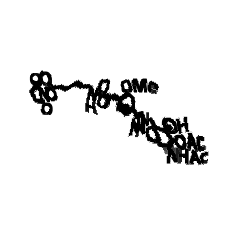 COc1cc(-c2cn(CC3OC[C@@H](NC(C)=O)C(OC(C)=O)C3O)nn2)ccc1COC(=O)NCCCCCC(=O)ON1C(=O)CCC1=O